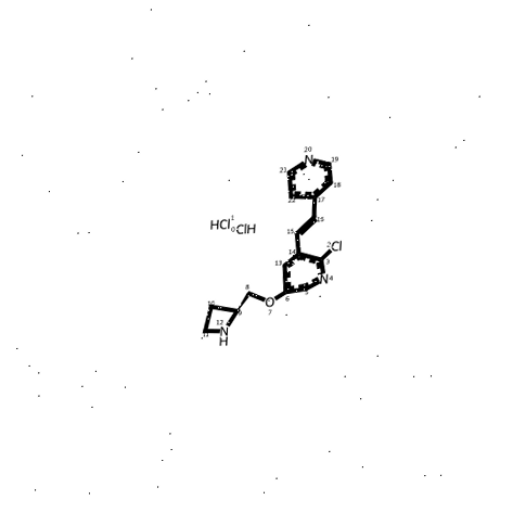 Cl.Cl.Clc1ncc(OC[C@@H]2CCN2)cc1C=Cc1ccncc1